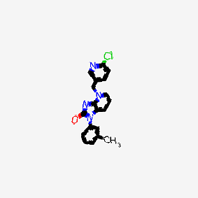 Cc1cccc(-n2c3cccn(Cc4ccc(Cl)nc4)c-3nc2=O)c1